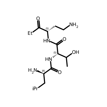 CCC(=O)[C@H](CCN)NC(=O)[C@@H](NC(=O)[C@H](N)CC(C)C)C(C)O